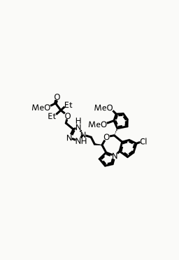 CCC(CC)(OCC1=NNN(CC[C@H]2O[C@H](c3cccc(OC)c3OC)c3cc(Cl)ccc3-n3cccc32)N1)C(=O)OC